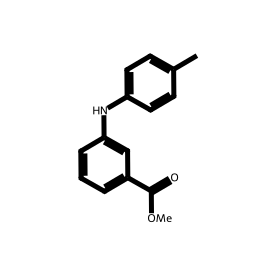 COC(=O)c1cccc(Nc2ccc(C)cc2)c1